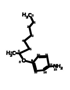 CCCCCCC(C)Oc1ccc(N)cc1